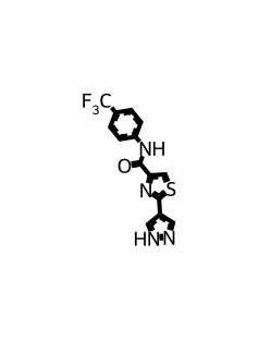 O=C(Nc1ccc(C(F)(F)F)cc1)c1csc(-c2cn[nH]c2)n1